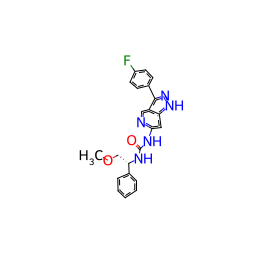 COC[C@H](NC(=O)Nc1cc2[nH]nc(-c3ccc(F)cc3)c2cn1)c1ccccc1